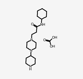 O=C(CCN1CCN(C2CCNCC2)CC1)NC1CCCCC1.O=C(O)O